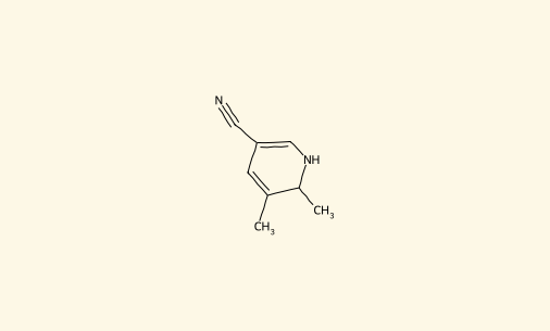 CC1=CC(C#N)=CNC1C